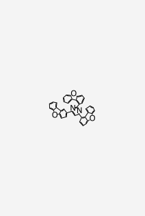 c1ccc2c(c1)oc1ccc(-c3cc(-c4cccc5oc6ccccc6c45)nc(-c4cccc5oc6ccccc6c45)n3)cc12